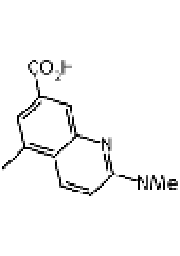 CNc1ccc2c(C)cc(C(=O)O)cc2n1